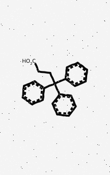 O=C(O)CCC(c1ccccc1)(c1ccccc1)c1ccccc1